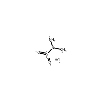 CN(N)[SH](=O)=O.Cl